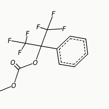 COC(=O)OC(c1ccccc1)(C(F)(F)F)C(F)(F)F